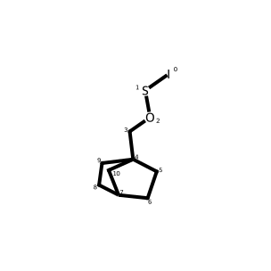 ISOCC12CCC(CC1)C2